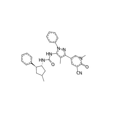 Cc1c(-c2cc(C#N)c(=O)n(C)c2)nn(-c2ccccc2)c1NC(=O)N[C@@H]1CC(C)C[C@H]1c1ccccc1